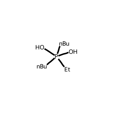 CCCCP(O)(O)(CC)CCCC